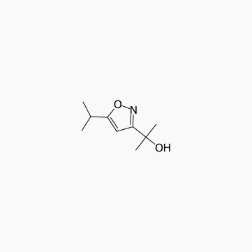 CC(C)c1cc(C(C)(C)O)no1